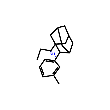 C[CH]C(N)C12CC3CC(CC(C3)C1c1cccc(C)c1)C2